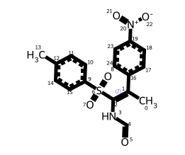 C/C(=C(\NC=O)S(=O)(=O)c1ccc(C)cc1)c1ccc([N+](=O)[O-])cc1